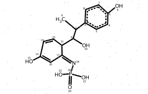 CC(c1ccc(O)cc1)C(O)C1C=CC(O)=C/C1=N\P(=O)(O)O